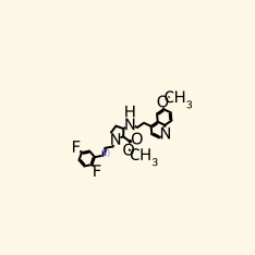 COC(=O)C1C(NCCc2ccnc3ccc(OC)cc23)CCN1C/C=C/c1cc(F)ccc1F